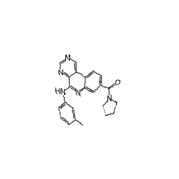 Cc1cccc(Nc2nc3cc(C(=O)N4CCCC4)ccc3c3cncnc23)c1